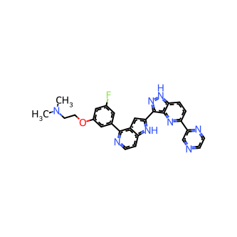 CN(C)CCOc1cc(F)cc(-c2nccc3[nH]c(-c4n[nH]c5ccc(-c6cnccn6)nc45)cc23)c1